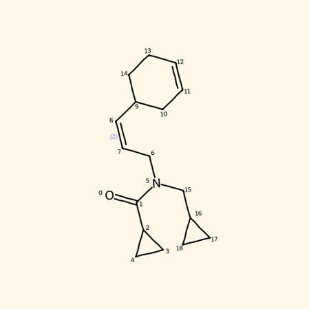 O=C(C1CC1)N(C/C=C\C1CC=CCC1)CC1CC1